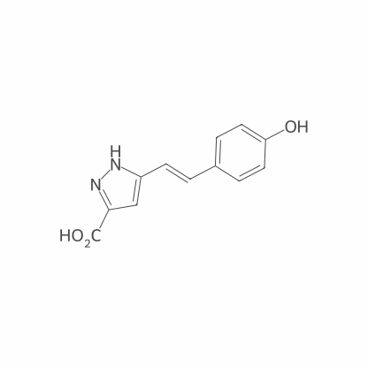 O=C(O)c1cc(/C=C/c2ccc(O)cc2)[nH]n1